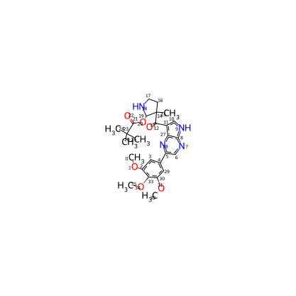 COc1cc(-c2cnc3[nH]cc(C(=O)C4(C)CCNC4OC(=O)C(C)(C)C)c3n2)cc(OC)c1OC